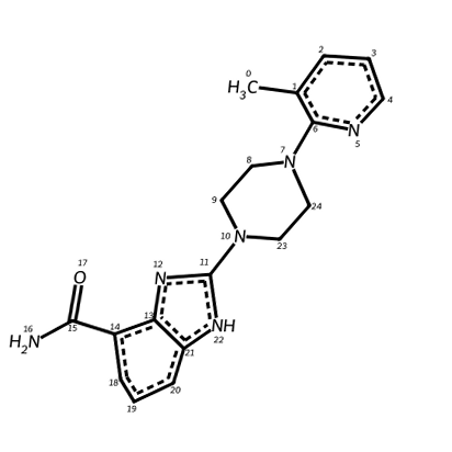 Cc1cccnc1N1CCN(c2nc3c(C(N)=O)cccc3[nH]2)CC1